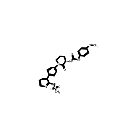 COc1ccc(NC(=O)N[C@@H]2CCCN(c3ccc(-c4cccnc4NS(C)(=O)=O)cc3)C2=O)cc1